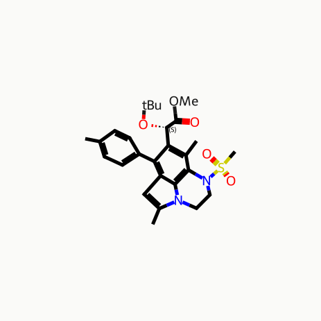 COC(=O)[C@@H](OC(C)(C)C)c1c(C)c2c3c(cc(C)n3CCN2S(C)(=O)=O)c1-c1ccc(C)cc1